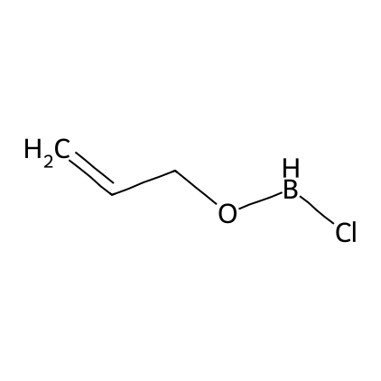 C=CCOBCl